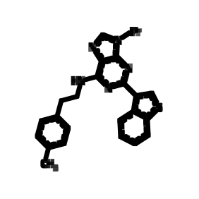 Cc1ccc(CCNc2nc(-c3csc4ccccc34)nc3c2ncn3C(C)C)cc1